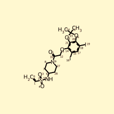 C=CS(=O)(=O)NC1CCN(C(=O)COc2c(I)cc(I)c3c2OC(C)(C)O3)CC1